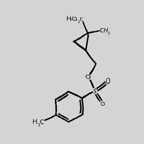 Cc1ccc(S(=O)(=O)OCC2CC2(C)C(=O)O)cc1